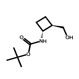 CC(C)(C)OC(=O)N[C@@H]1CC[C@H]1CO